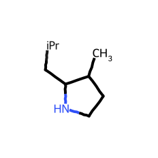 CC(C)CC1NCCC1C